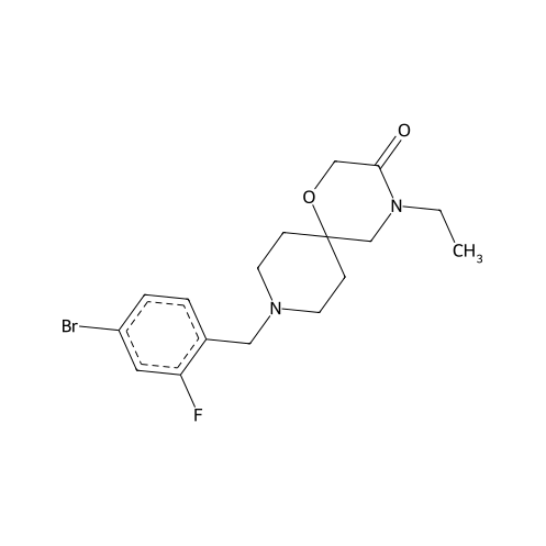 CCN1CC2(CCN(Cc3ccc(Br)cc3F)CC2)OCC1=O